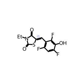 CCN1C(=O)S/C(=C\c2c(F)cc(F)c(O)c2F)C1=O